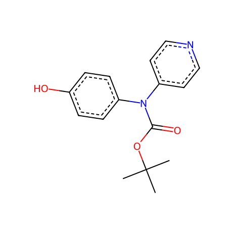 CC(C)(C)OC(=O)N(c1ccncc1)c1ccc(O)cc1